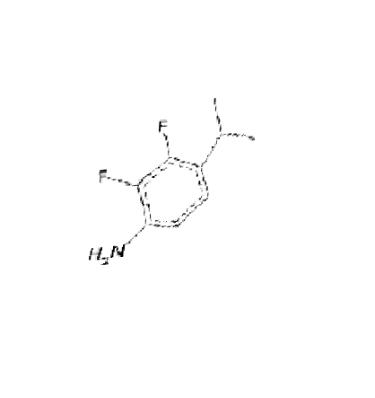 CC(C)c1ccc(N)c(F)c1F